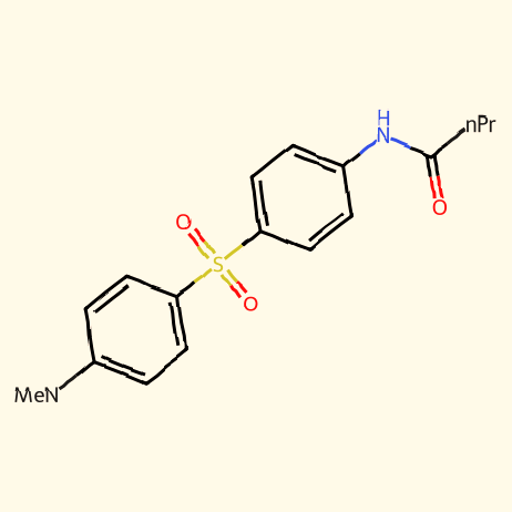 CCCC(=O)Nc1ccc(S(=O)(=O)c2ccc(NC)cc2)cc1